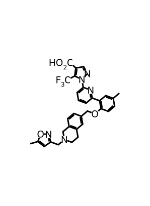 Cc1ccc(OCc2ccc3c(c2)CCN(Cc2cc(C)on2)C3)c(-c2cccc(-n3ncc(C(=O)O)c3C(F)(F)F)n2)c1